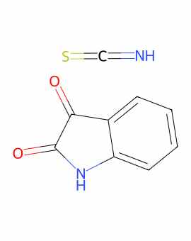 N=C=S.O=C1Nc2ccccc2C1=O